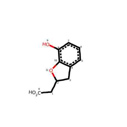 O=C(O)CC1Cc2cccc(O)c2O1